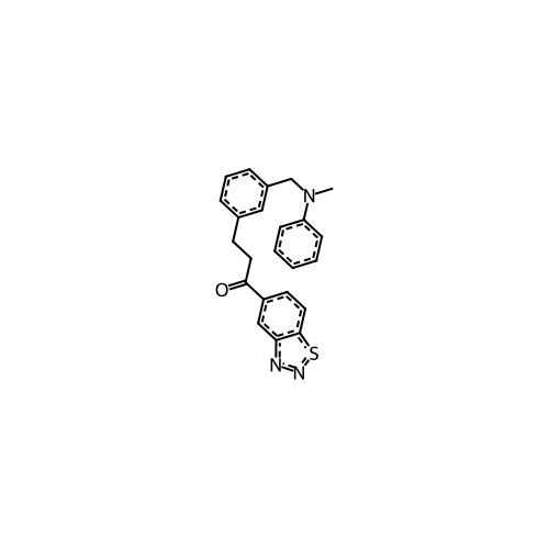 CN(Cc1cccc(CCC(=O)c2ccc3snnc3c2)c1)c1ccccc1